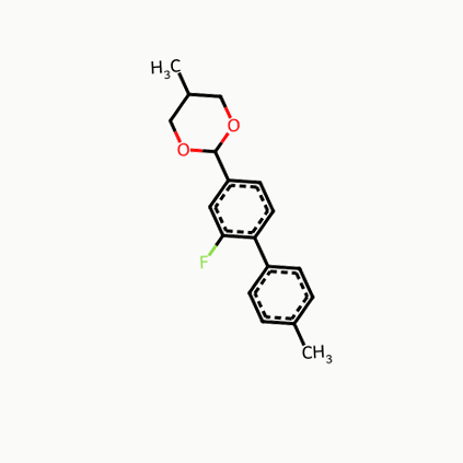 Cc1ccc(-c2ccc(C3OCC(C)CO3)cc2F)cc1